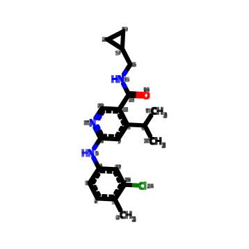 Cc1ccc(Nc2cc(C(C)C)c(C(=O)NCC3CC3)cn2)cc1Cl